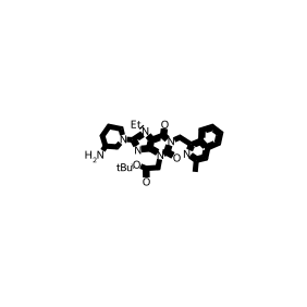 CCn1c(N2CCCC(N)C2)nc2c1c(=O)n(Cc1nc(C)cc3ccccc13)c(=O)n2CC(=O)OC(C)(C)C